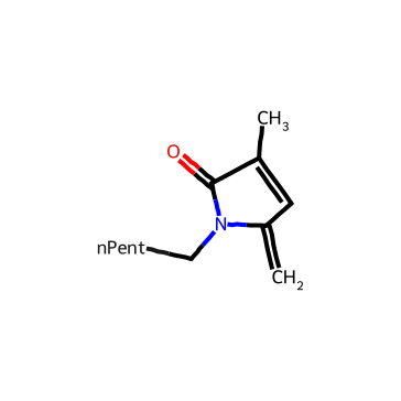 C=C1C=C(C)C(=O)N1CCCCCC